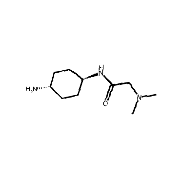 CN(C)CC(=O)N[C@H]1CC[C@H](N)CC1